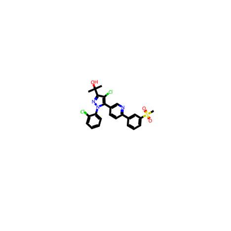 CC(C)(O)c1nn(-c2ccccc2Cl)c(-c2ccc(-c3cccc(S(C)(=O)=O)c3)nc2)c1Cl